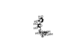 COP(=O)(O)OP(=O)(O)OP(=O)(O)OC[C@H]1O[C@@H](N2C=CC(=O)NC2O)C(O)C1O